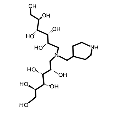 OC[C@@H](O)[C@@H](O)[C@H](O)[C@@H](O)CN(CC1CCNCC1)C[C@H](O)[C@@H](O)[C@H](O)[C@H](O)CO